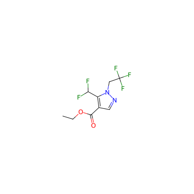 CCOC(=O)c1cnn(CC(F)(F)F)c1C(F)F